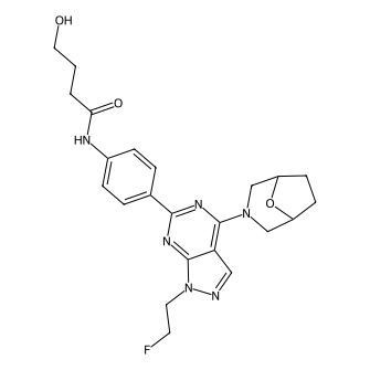 O=C(CCCO)Nc1ccc(-c2nc(N3CC4CCC(C3)O4)c3cnn(CCF)c3n2)cc1